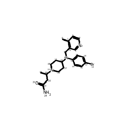 Cc1ccncc1CN(c1ccc(Br)cc1)C1CCN(C(C)CC(N)=O)CC1